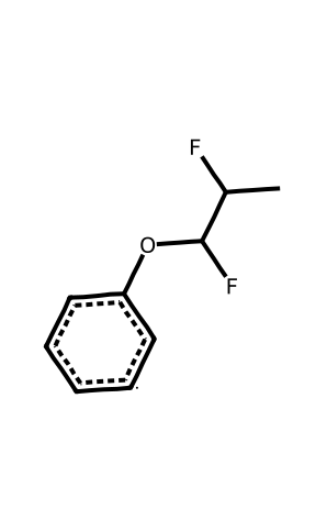 CC(F)C(F)Oc1c[c]ccc1